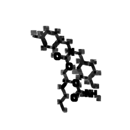 CCCC[C@@H](COC(=O)N(Cc1ccc(C)cc1)Cc1ccc(C)cc1)OC(N)=O